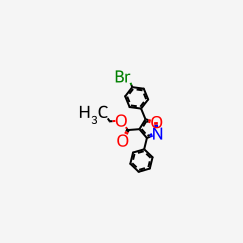 CCOC(=O)c1c(-c2ccccc2)noc1-c1ccc(Br)cc1